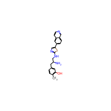 NC(CNc1ncc(-c2ccc3cnccc3c2)s1)Cc1ccc(C(F)(F)F)c(O)c1